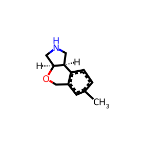 Cc1ccc2c(c1)CO[C@H]1CNC[C@@H]21